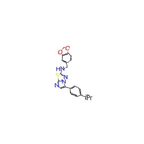 CC(C)c1ccc(-c2cnc3sc(NCc4ccc5c(c4)OCO5)nn23)cc1